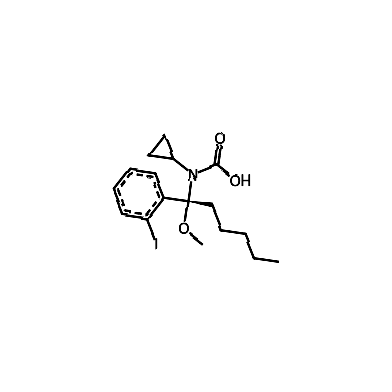 CCCCC[C@@](OC)(c1ccccc1I)N(C(=O)O)C1CC1